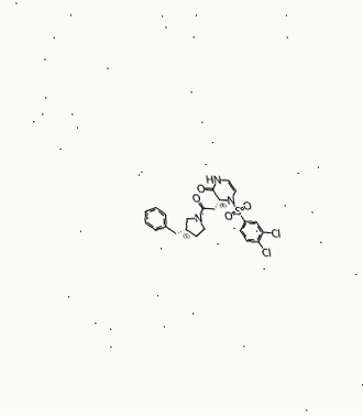 O=C1NC=CN(S(=O)(=O)c2ccc(Cl)c(Cl)c2)[C@@H]1CC(=O)N1CC[C@H](Cc2ccccc2)C1